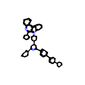 c1ccc(-c2ccc(-c3ccc(-c4cc(-c5ccc(-n6c7ccccc7c7c8ccccc8nc(-c8ccccc8)c76)cc5)cc(-c5ccccc5)n4)cc3)cc2)cc1